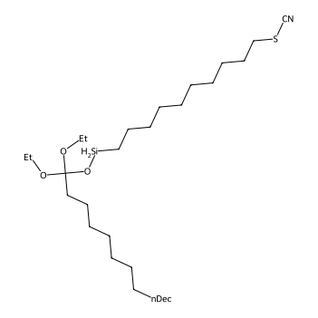 CCCCCCCCCCCCCCCCCC(OCC)(OCC)O[SiH2]CCCCCCCCCCSC#N